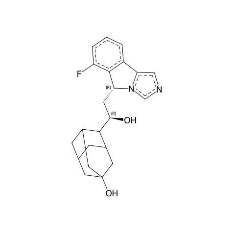 O[C@H](C[C@@H]1c2c(F)cccc2-c2cncn21)C1C2CC3CC1CC(O)(C3)C2